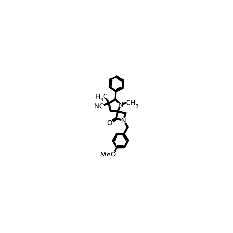 COc1ccc(CN2CC3(CC(C)(C#N)C(c4ccccc4)N3C)C2=O)cc1